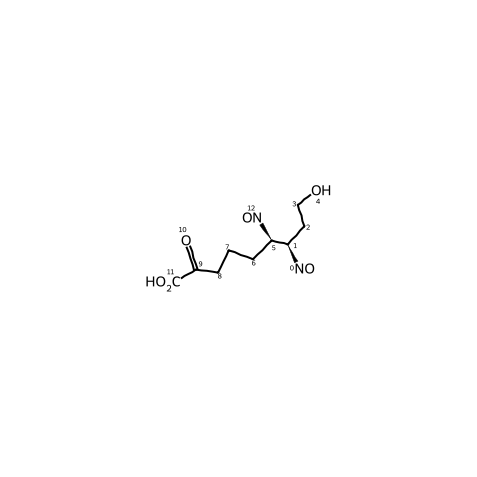 O=N[C@H](CCO)[C@@H](CCCC(=O)C(=O)O)N=O